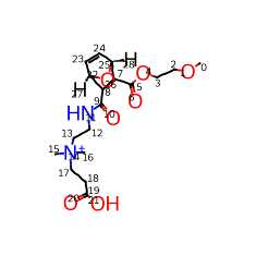 COCCOC(=O)C1C(C(=O)NCC[N+](C)(C)CCC(=O)O)[C@@H]2C=C[C@H]1O2